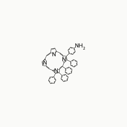 Nc1ccc(C2=C(c3ccccc3)C3=NC2=CC2=NC(=CC4=NC(=CC5=NC(=C3c3ccccc3)C(c3ccccc3)=C5c3ccccc3)C=C4)C=C2)cc1